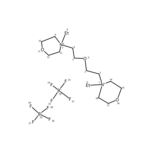 CC[N+]1(CCOCC[N+]2(CC)CCOCC2)CCOCC1.F[B-](F)(F)F.F[B-](F)(F)F